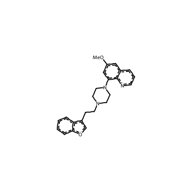 COc1cc(N2CCN(CCc3coc4ccccc34)CC2)c2ncccc2c1